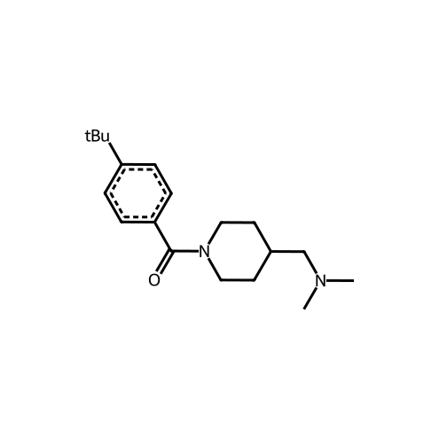 CN(C)CC1CCN(C(=O)c2ccc(C(C)(C)C)cc2)CC1